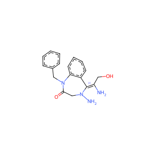 N/C(CO)=C1/c2ccccc2N(Cc2ccccc2)C(=O)CN1N